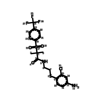 CC(C)(C(=O)NCCSc1ccc(N)cc1Cl)S(=O)(=O)c1ccc(C(F)(F)F)cn1